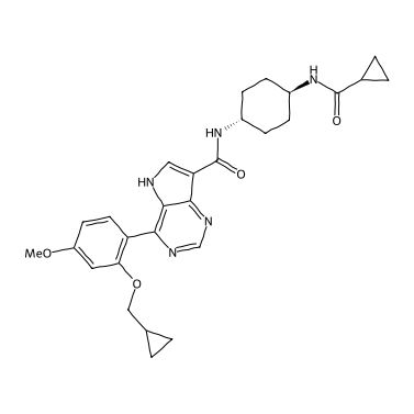 COc1ccc(-c2ncnc3c(C(=O)N[C@H]4CC[C@H](NC(=O)C5CC5)CC4)c[nH]c23)c(OCC2CC2)c1